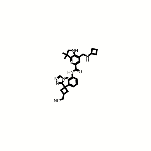 Cn1cnnc1C1(c2cccc(NC(=O)c3cc(CNC4CCC4)c4c(n3)C(C)(C)CN4)c2)CC(CC#N)C1